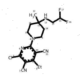 CCc1c(C#N)c(Cl)nc(N2CCC(C)(NCC(F)F)CC2)c1C#N